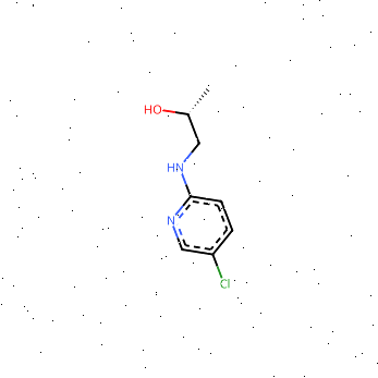 C[C@@H](O)CNc1ccc(Cl)cn1